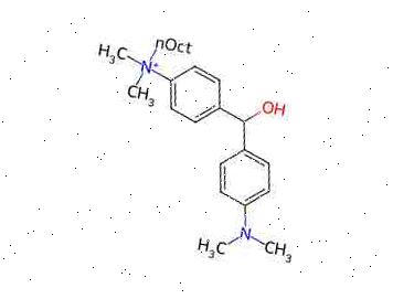 CCCCCCCC[N+](C)(C)c1ccc(C(O)c2ccc(N(C)C)cc2)cc1